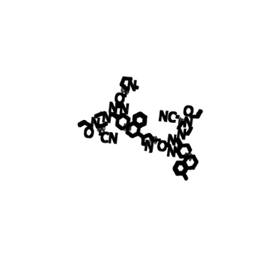 C=CC(=O)N1CCN(c2nc(OC[C@@H]3CCCN3C)nc3c2CC[C@@]2(CCC(C4C[C@@H](COc5nc6c(c(N7CCN(C(=O)C=C)[C@@H](CC#N)C7)n5)CC[C@@]5(CCCc7c(C)cccc75)C6)N(C)C4)c4ccccc42)C3)C[C@@H]1CC#N